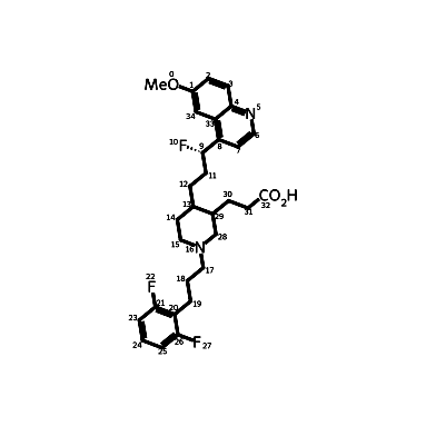 COc1ccc2nccc([C@@H](F)CCC3CCN(CCCc4c(F)cccc4F)CC3CCC(=O)O)c2c1